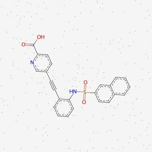 O=C(O)c1ccc(C#Cc2ccccc2NS(=O)(=O)c2ccc3ccccc3c2)cn1